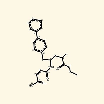 CCOC(=O)C(C)CC(Cc1ccc(-c2ccccc2)cc1)NC(=O)/C=C\C(=O)O